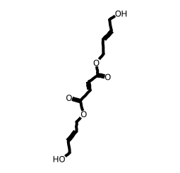 O=C(C=CC(=O)OCC=CCO)OCC=CCO